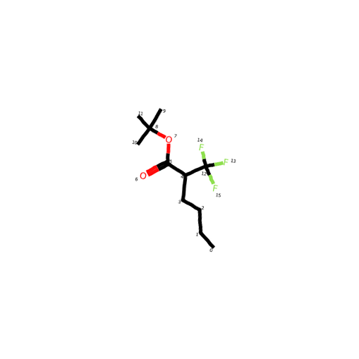 CCCCC(C(=O)OC(C)(C)C)C(F)(F)F